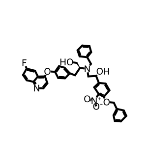 O=[N+]([O-])c1cc([C@H](O)CN(Cc2ccccc2)[C@H](CO)Cc2ccc(Oc3ccnc4ccc(F)cc34)cc2)ccc1OCc1ccccc1